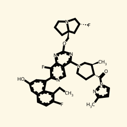 CCc1c(F)ccc2cc(O)cc(-c3ncc4c(N5CC[C@@H](C(=O)n6ccc(C)n6)[C@H](C)C5)nc(OC[C@@]56CCCN5C[C@H](F)C6)nc4c3F)c12